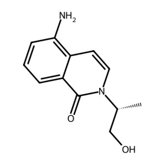 C[C@H](CO)n1ccc2c(N)cccc2c1=O